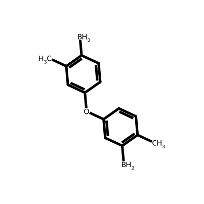 Bc1cc(Oc2ccc(B)c(C)c2)ccc1C